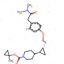 CN(C)C(=O)Cc1ccc(OCC[C@@H]2C[C@H]2C2CCN(C(=O)OC3(C)CC3)CC2)cc1F